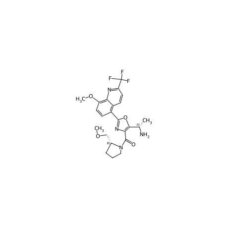 COC[C@H]1CCCN1C(=O)c1nc(-c2ccc(OC)c3nc(C(F)(F)F)ccc23)oc1[C@H](C)N